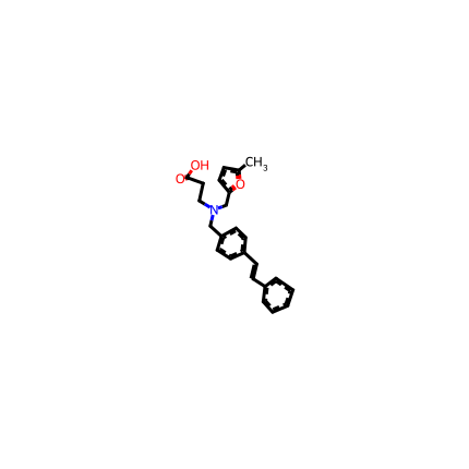 Cc1ccc(CN(CCC(=O)O)Cc2ccc(C=Cc3ccccc3)cc2)o1